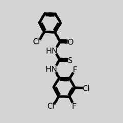 O=C(NC(=S)Nc1cc(Cl)c(F)c(Cl)c1F)c1ccccc1Cl